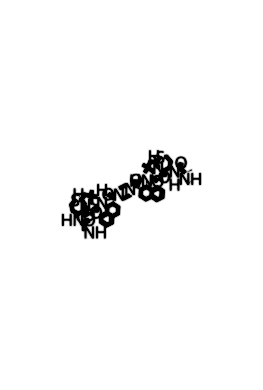 CNCC(=O)N[C@H]1CCS[C@H]2CC(C)(C)[C@@H](C(=O)N[C@@H]3c4ccccc4CC[C@H]3C(=O)N3CCN(C(=O)[C@@H]4CCc5ccccc5[C@H]4NC(=O)[C@H]4N5C(=O)[C@@H](NC(=O)[C@H](C)NC)CCS[C@H]5CC4(C)C)CC3)N2C1=O